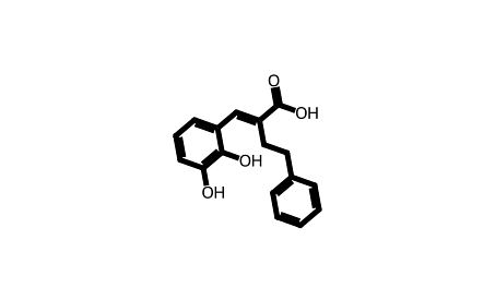 O=C(O)/C(=C/c1cccc(O)c1O)CCc1ccccc1